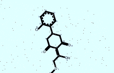 COCC(O)=C1C(=O)CC(c2ccccc2Cl)CC1=O